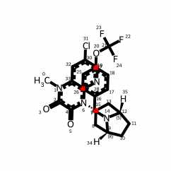 Cn1c(=O)c(=O)n([C@H]2C[C@H]3CC[C@@H](C2)N3Cc2ccc(OC(F)(F)F)cc2)c2ncc(Cl)cc21